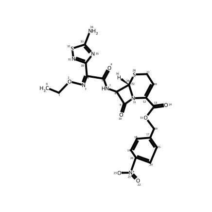 CCON=C(C(=O)NC1C(=O)N2C(C(=O)OCc3ccc([N+](=O)[O-])cc3)=CCS[C@@H]12)c1nsc(N)n1